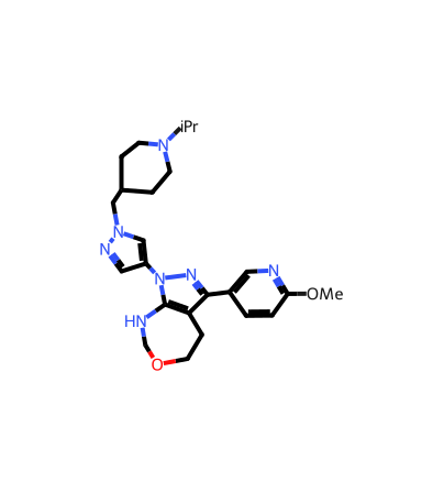 COc1ccc(-c2nn(-c3cnn(CC4CCN(C(C)C)CC4)c3)c3c2CCOCN3)cn1